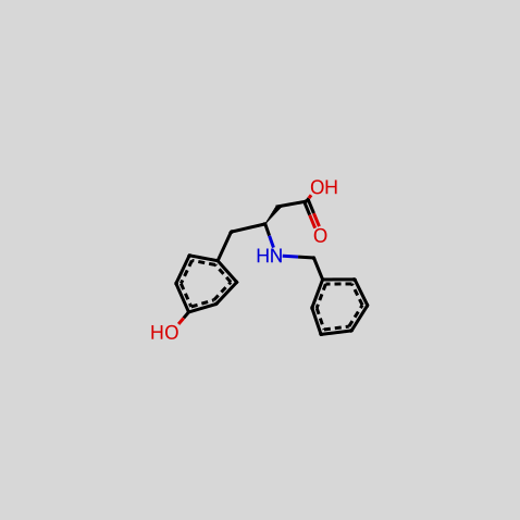 O=C(O)C[C@H](Cc1ccc(O)cc1)NCc1ccccc1